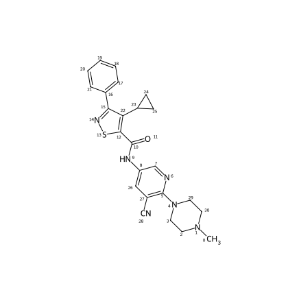 CN1CCN(c2ncc(NC(=O)c3snc(-c4ccccc4)c3C3CC3)cc2C#N)CC1